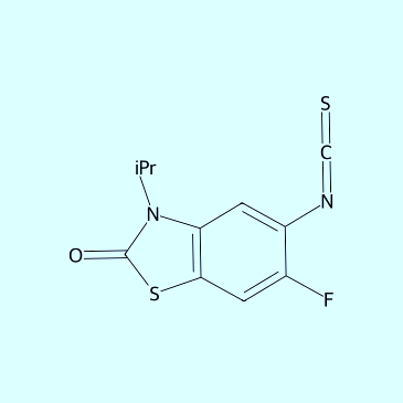 CC(C)n1c(=O)sc2cc(F)c(N=C=S)cc21